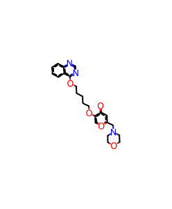 O=c1cc(CN2CCOCC2)occ1OCCCCCOc1ncnc2ccccc12